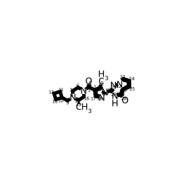 Cc1c(C(=O)N2CCN(CC3CCC3)[C@H](C)C2)cnn1-c1nn2cccc2c(=O)[nH]1